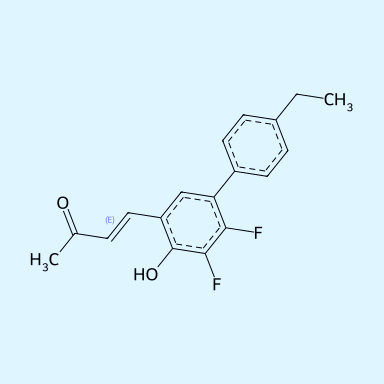 CCc1ccc(-c2cc(/C=C/C(C)=O)c(O)c(F)c2F)cc1